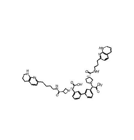 O=C(NCCCCc1ccc2c(n1)NCCC2)C1CN([C@H](C(=O)O)c2cccc(-c3cccc(C(C(=O)O)N4CC[C@H](C(=O)NCCCc5ccc6c(n5)NCCC6)C4)c3)c2)C1